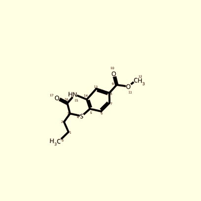 CCCC1Sc2ccc(C(=O)OC)cc2NC1=O